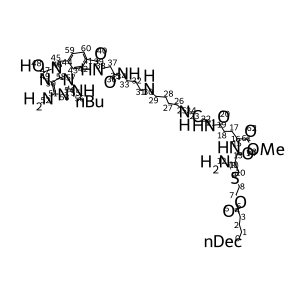 CCCCCCCCCCCCCC(=O)OCCSC[C@H](N)C(=O)NC(CCC(=O)NCCCNCCCCNCCCNC(=O)CNC(=O)c1ccc(Cn2c(O)nc3c(N)nc(NCCCC)nc32)cc1)C(=O)OC